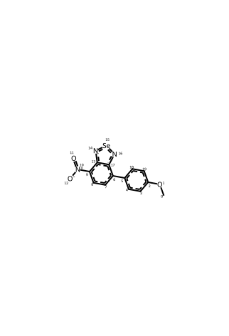 COc1ccc(-c2ccc([N+](=O)[O-])c3n[se]nc23)cc1